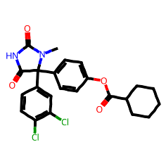 CN1C(=O)NC(=O)C1(c1ccc(OC(=O)C2CCCCC2)cc1)c1ccc(Cl)c(Cl)c1